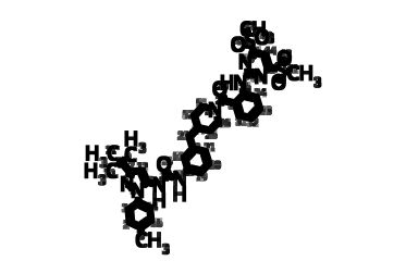 Cc1ccc(-n2nc(C(C)(C)C)cc2NC(=O)Nc2cccc(CC3CCN(C(=O)c4ccccc4Nc4nc(S(C)(=O)=O)cc(S(C)(=O)=O)n4)CC3)c2)cc1